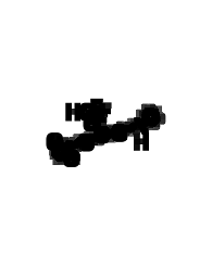 O=C(O)C(F)(F)F.O=C1C=CC(=O)N1CCCOCCOCCOCCCNc1ccccc1